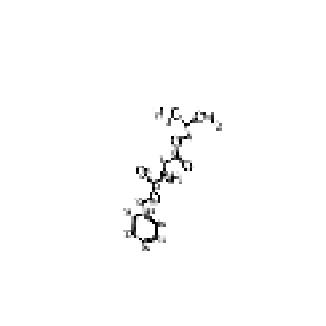 CC(C)COC(=O)CNC(=O)OCc1ccccc1